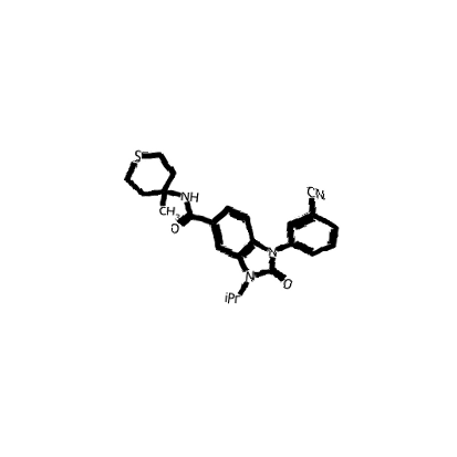 CC(C)n1c(=O)n(-c2cccc(C#N)c2)c2ccc(C(=O)NC3(C)CCSCC3)cc21